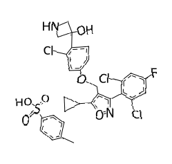 Cc1ccc(S(=O)(=O)O)cc1.OC1(c2ccc(OCc3c(-c4c(Cl)cc(F)cc4Cl)noc3C3CC3)cc2Cl)CNC1